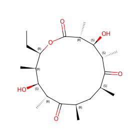 CC[C@H]1OC(=O)[C@H](C)[C@@H](O)[C@H](C)C(=O)[C@@H](C)C[C@@H](C)C(=O)[C@H](C)[C@@H](O)[C@H]1C